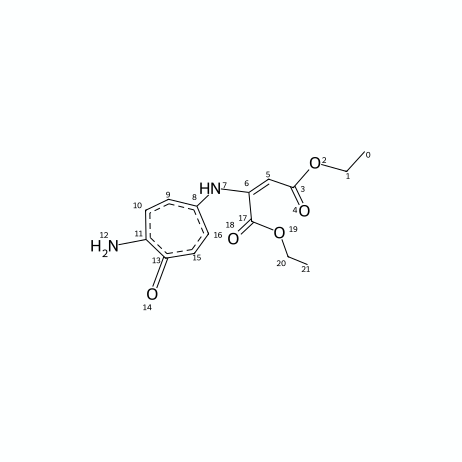 CCOC(=O)C=C(Nc1ccc(N)c(=O)cc1)C(=O)OCC